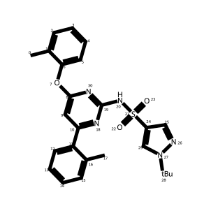 Cc1ccccc1Oc1cc(-c2ccccc2C)nc(NS(=O)(=O)c2cnn(C(C)(C)C)c2)n1